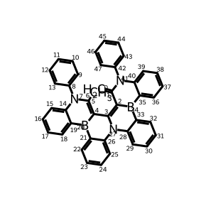 C=C1C2=C3C4=C(C)N(c5ccccc5)c5ccccc5B4c4ccccc4N3c3ccccc3B2c2ccccc2N1c1ccccc1